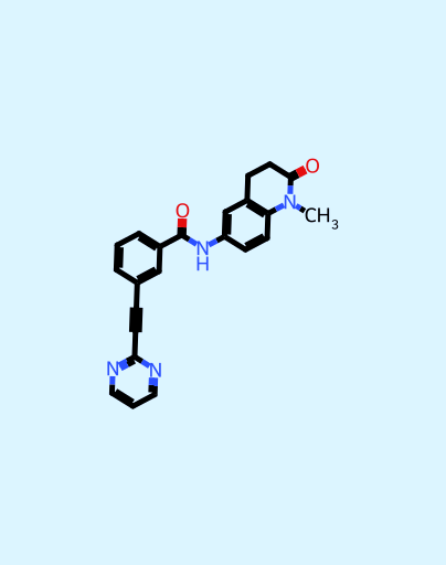 CN1C(=O)CCc2cc(NC(=O)c3cccc(C#Cc4ncccn4)c3)ccc21